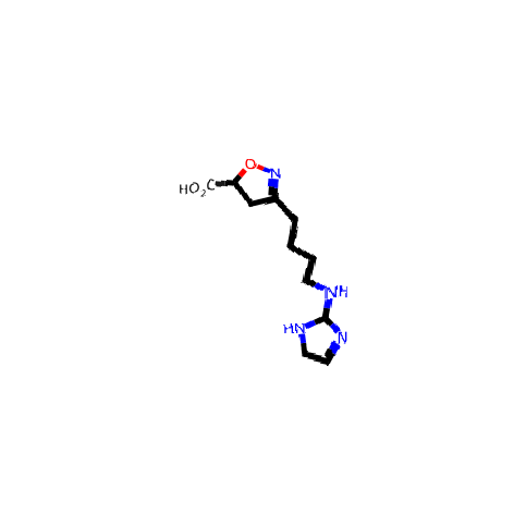 O=C(O)C1CC(CCCCNC2N=CCN2)=NO1